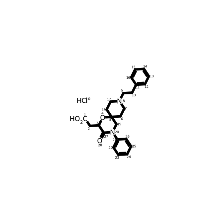 Cl.O=C(O)CC1OC2(CCN(CCc3ccccc3)CC2)CN(c2ccccc2)C1=O